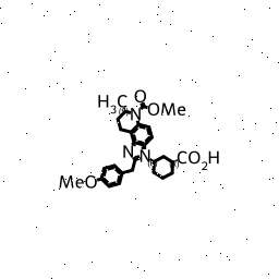 COC(=O)N1c2ccc3c(nc(Cc4ccc(OC)cc4)n3[C@@H]3CCC[C@@H](C(=O)O)C3)c2CC[C@@H]1C